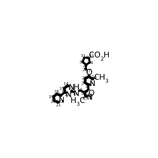 Cc1nc(-c2onc(C)c2CNc2nccc(-c3ccccn3)n2)ccc1OCC1CCC(C(=O)O)C1